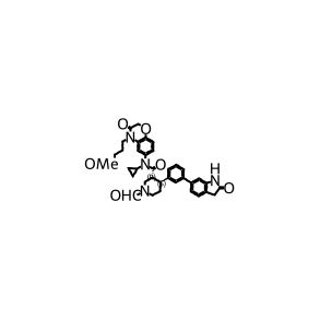 COCCCN1C(=O)COc2ccc(N(C(=O)[C@H]3CN(C=O)CC[C@@H]3c3cccc(-c4ccc5c(c4)NC(=O)C5)c3)C3CC3)cc21